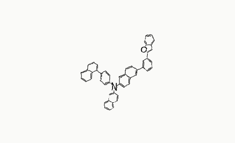 c1cc(-c2ccc3cc(N(c4ccc(-c5cccc6ccccc56)cc4)c4ccc5ccccc5c4)ccc3c2)cc(-c2cc3ccccc3o2)c1